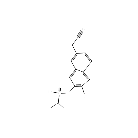 N#CCc1ccc2cc(Br)c(OP(=O)(O)C(F)F)cc2c1